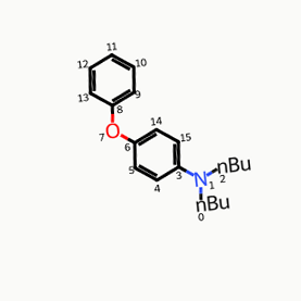 CCCCN(CCCC)c1ccc(Oc2ccccc2)cc1